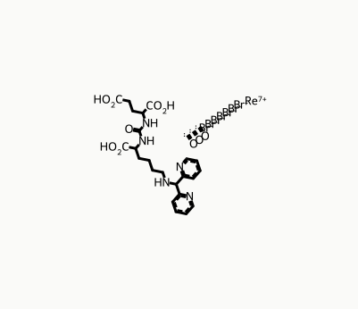 O=C(O)CCC(NC(=O)NC(CCCCNC(c1ccccn1)c1ccccn1)C(=O)O)C(=O)O.[Br-].[Br-].[Br-].[Br-].[Br-].[Br-].[Br-].[C]=O.[C]=O.[C]=O.[Re+7]